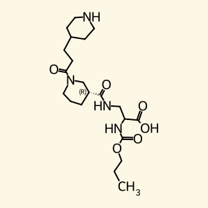 CCCOC(=O)NC(CNC(=O)[C@@H]1CCCN(C(=O)CCC2CCNCC2)C1)C(=O)O